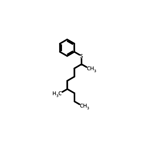 CCCC(C)CCC[C](C)Sc1ccccc1